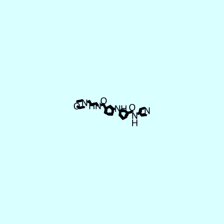 O=C(NCCCN1CCOCC1)c1cccc(Nc2cccc(C(=O)Nc3ccncc3)c2)c1